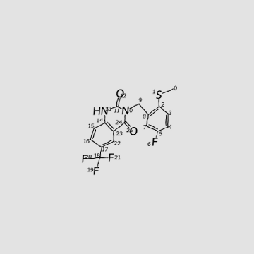 CSc1ccc(F)cc1Cn1c(=O)[nH]c2ccc(C(F)(F)F)cc2c1=O